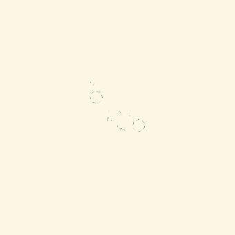 CN1C(=O)[C@H](NC(=O)Oc2ccc([N+](=O)[O-])cc2)N=C(C2CCCCCC2)c2ccccc21